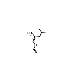 C=CO/C=C(/N)CC(C)C